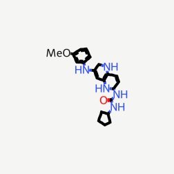 COc1cccc(NC2=CC3=C(C=CC(NC(=O)NC4CCCC4)N3)NC2)c1